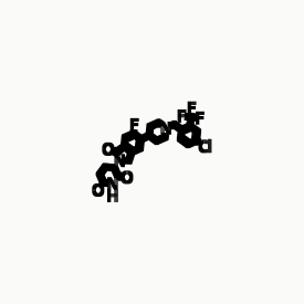 O=C1CCC(N2Cc3cc(C4CCN(Cc5ccc(Cl)cc5C(F)(F)F)CC4)c(F)cc3C2=O)C(=O)N1